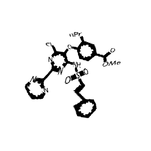 CCCc1cc(C(=O)OC)ccc1Oc1c(Cl)nc(-c2ncccn2)nc1NS(=O)(=O)C=Cc1ccccc1